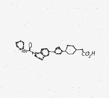 O=C(O)C[C@H]1CC[C@@H](c2ccc(-c3ccc4c(ccn4C(=O)Nc4ccccc4)c3)cc2)CC1